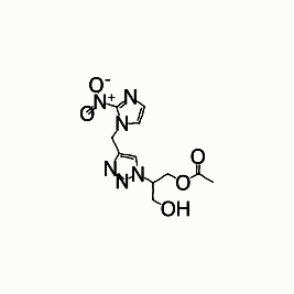 CC(=O)OCC(CO)n1cc(Cn2ccnc2[N+](=O)[O-])nn1